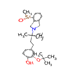 C[S+]([O-])c1cccc2c1CN(C(C)(C)CCc1ccc(O)c(OC(C)(C)C)c1)C2